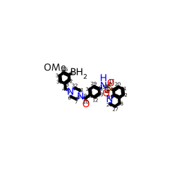 Bc1cc(CN2CCN(C(=O)c3ccc(NS(=O)(=O)c4cccc5c4N=CCC5)cc3)CC2)ccc1OC